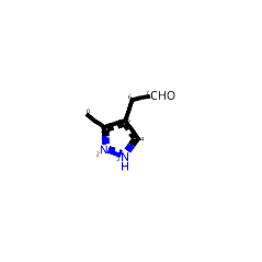 Cc1n[nH]cc1CC=O